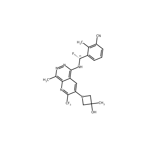 Cc1c(C#N)cccc1[C@@H](F)Nc1nnc(C)c2nc(C(F)(F)F)c(N3CC(C)(O)C3)cc12